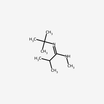 CN/C(=N/C(C)(C)C)C(C)C